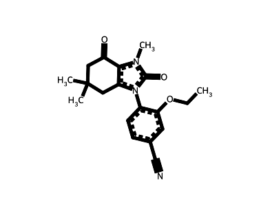 CCOc1cc(C#N)ccc1-n1c2c(n(C)c1=O)C(=O)CC(C)(C)C2